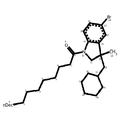 CCCCCCCCCCCCCCCCCC(=O)N1CC(C)(CC2CCCCC2)c2cc(Br)ccc21